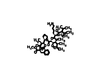 CC[C@H](C)[C@@H]([C@@H](CC(=O)N1CCC[C@H]1[C@H](OC)[C@@H](C)C(=O)N[C@@H](Cc1ccccc1)C(=O)OC)OC)N(C)C(=O)[C@H](CCCCN)NC(=O)C(C(C)C)N(C)C